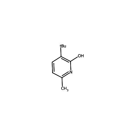 Cc1ccc(C(C)(C)C)c(O)n1